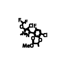 COC(=O)C(C)Oc1cc(-c2nn(C)c(OC(F)F)c2Cl)c(F)cc1Cl